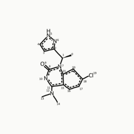 C[C@H](c1cc[nH]n1)n1c(=O)nc(N(C)C)c2ccc(Cl)cc21